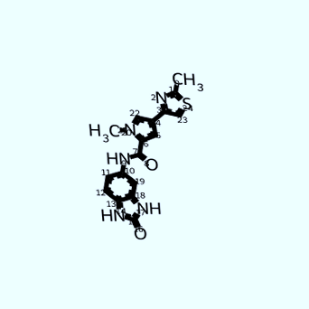 Cc1nc(-c2cc(C(=O)Nc3ccc4[nH]c(=O)[nH]c4c3)n(C)c2)cs1